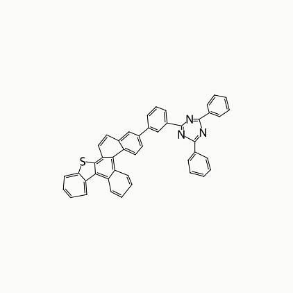 c1ccc(-c2nc(-c3ccccc3)nc(-c3cccc(-c4ccc5c(ccc6c7sc8ccccc8c7c7ccccc7c56)c4)c3)n2)cc1